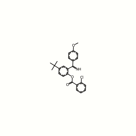 COc1ccc(C(=N)c2cc(C(C)(C)C)ccc2OC(=O)c2ccccc2Cl)cc1